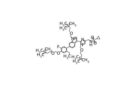 CCc1cc(OCOCC[Si](C)(C)C)c(F)cc1-c1ccc2c(-c3nc(CNS(=O)(=O)C4CC4)cn3COCC[Si](C)(C)C)nn(COCC[Si](C)(C)C)c2c1